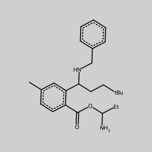 CCC(N)OC(=O)c1ccc(C)cc1C(CCC(C)(C)C)NCc1ccccc1